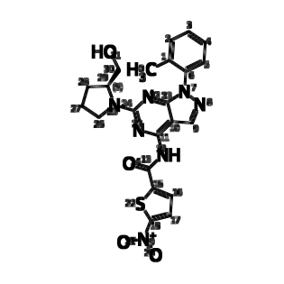 Cc1ccccc1-n1ncc2c(NC(=O)c3ccc([N+](=O)[O-])s3)nc(N3CCC[C@H]3CO)nc21